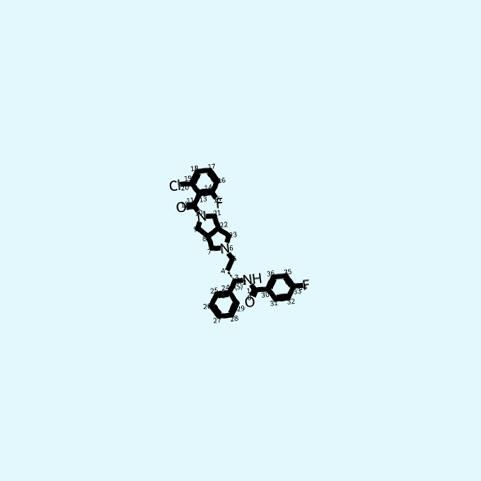 O=C(N[C@@H](CCN1CC2CN(C(=O)c3c(F)cccc3Cl)CC2C1)c1ccccc1)c1ccc(F)cc1